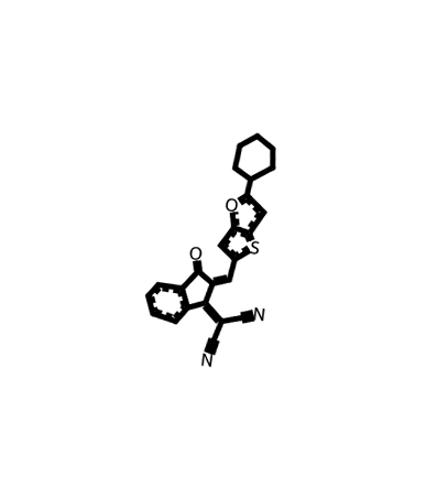 N#CC(C#N)=C1/C(=C/c2cc3oc(C4CCCCC4)cc3s2)C(=O)c2ccccc21